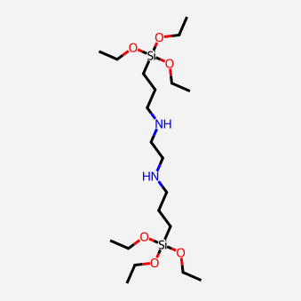 CCO[Si](CCCNCCNCCC[Si](OCC)(OCC)OCC)(OCC)OCC